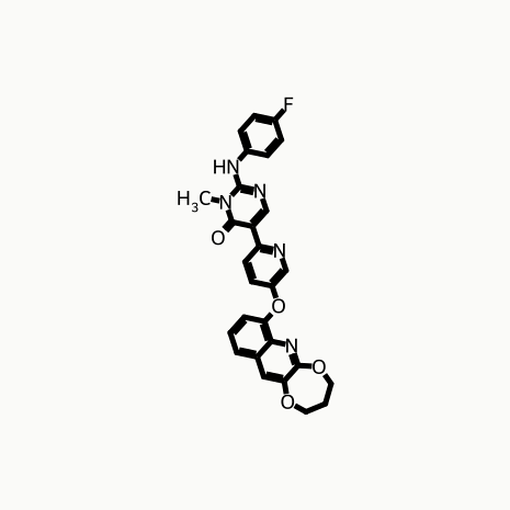 Cn1c(Nc2ccc(F)cc2)ncc(-c2ccc(Oc3cccc4cc5c(nc34)OCCCO5)cn2)c1=O